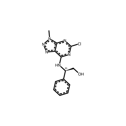 Cn1nnc2c(N[C@@H](CO)c3ccccc3)nc(Cl)nc21